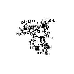 CCCCOC(CNC1(C)CC(OC2C(Oc3c4cc5cc3Oc3ccc(cc3Cl)[C@@H](O)[C@@H]3NC(=O)C(NC(=O)C5NC(=O)CC(C(N)=O)NC(=O)[C@@H](NC(=O)[C@H](N)CC(C)C)C(O)c5ccc(c(Cl)c5)O4)c4ccc(O)c(c4)-c4c(O)cc(O)cc4C(C(=O)O)NC3=O)OC(CO)C(O)C2O)OC(C)C1O)C(=O)O